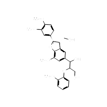 COc1ccc([C@@H]2Oc3c(OC)cc(C(O)C(CO)Oc4ccccc4OC)cc3[C@H]2CO)cc1OC